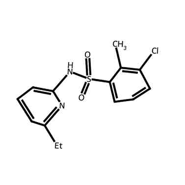 CCc1cccc(NS(=O)(=O)c2cccc(Cl)c2C)n1